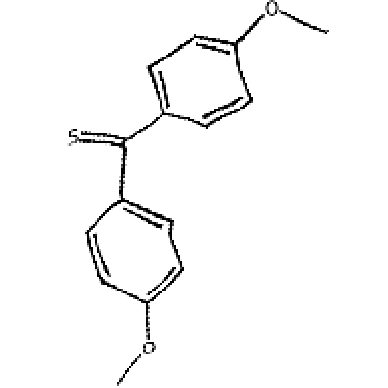 COc1ccc(C(=S)c2ccc(OC)cc2)cc1